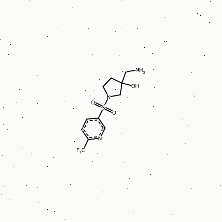 NCC1(O)CCN(S(=O)(=O)c2ccc(C(F)(F)F)nc2)C1